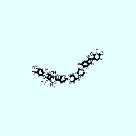 CC1(C)C(NC(=O)c2ccc(N3CCC(CN4CCN(c5cc6c(cc5F)C(=O)N(C5CCC(=O)NC5=O)C6)CC4)CC3)nc2)C(C)(C)C1Oc1ccc(C#N)c(Cl)c1